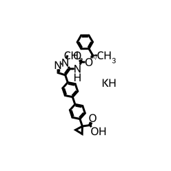 C[C@@H](OC(=O)Nc1c(-c2ccc(-c3ccc(C4(C(=O)O)CC4)cc3)cc2)cnn1C)c1ccccc1.[KH]